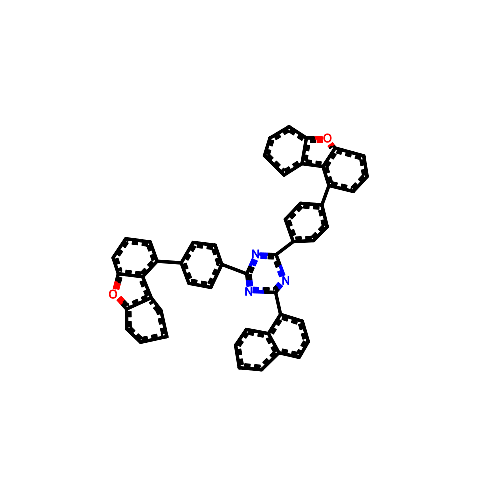 c1ccc2c(-c3nc(-c4ccc(-c5cccc6oc7ccccc7c56)cc4)nc(-c4ccc(-c5cccc6oc7ccccc7c56)cc4)n3)cccc2c1